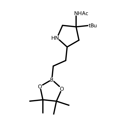 CC(=O)NC1(C(C)(C)C)CNC(CCB2OC(C)(C)C(C)(C)O2)C1